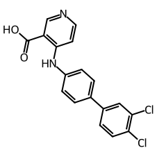 O=C(O)c1cnccc1Nc1ccc(-c2ccc(Cl)c(Cl)c2)cc1